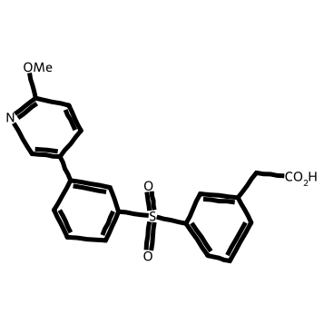 COc1ccc(-c2cccc(S(=O)(=O)c3cccc(CC(=O)O)c3)c2)cn1